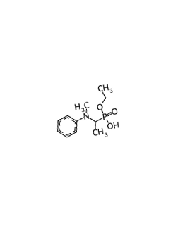 CCOP(=O)(O)C(C)N(C)c1ccccc1